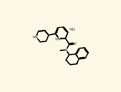 CN(C(=O)C1C=CC=C(C2CCNCC2)N1)C1CCCc2ccccc21.Cl